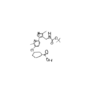 Cc1nc(-c2onc(C)c2CNC(=O)OC(C)(C)C)ccc1O[C@H]1CCC[C@H](C(=O)O)C1